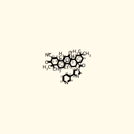 CC[C@@]12CC[C@@]3(C(=O)n4cnc(-c5cccnc5)c4)CCC(C)(C)CC3[C@H]1C(=O)C=C1[C@@]3(C)C=C(C#N)C(=O)C(C)(C)C3CC[C@]12C